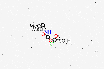 COc1cccc(CCNC(=O)c2ccc(Oc3cc4c(cc3Cl)C(C(=O)O)CCO4)cc2)c1OC